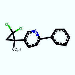 O=C(O)C1(c2ccc(-c3ccccc3)nc2)CC1(Cl)Cl